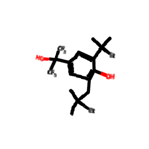 CCC(C)(C)Cc1cc(C(O)(C(F)(F)F)C(F)(F)F)cc(C(C)(C)CC)c1O